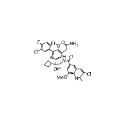 CCOc1c(CC(N)=O)cc([C@@](O)(CNC(=O)c2cc(OC)c3nc(C)c(Cl)cc3c2)C2CCC2)nc1-c1ccc(F)c(Cl)c1